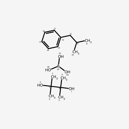 CC(C)(O)C(C)(C)O.CC(C)Cc1ccccc1.OB(O)O